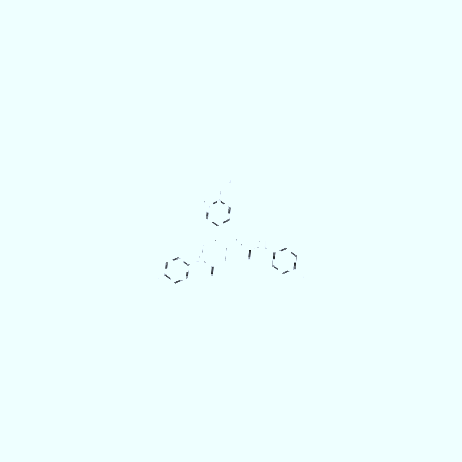 COc1ccc([C@H]2CN(c3ccc(F)cc3)C(=O)C[C@H]2NC(=O)Nc2ccc(Cl)cc2)cn1